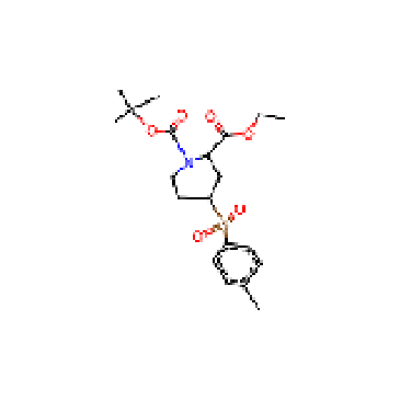 CCOC(=O)C1CC(S(=O)(=O)c2ccc(C)cc2)CCN1C(=O)OC(C)(C)C